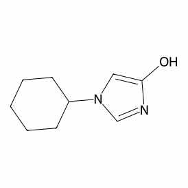 Oc1cn(C2CCCCC2)cn1